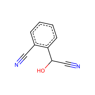 N#Cc1ccccc1C(O)C#N